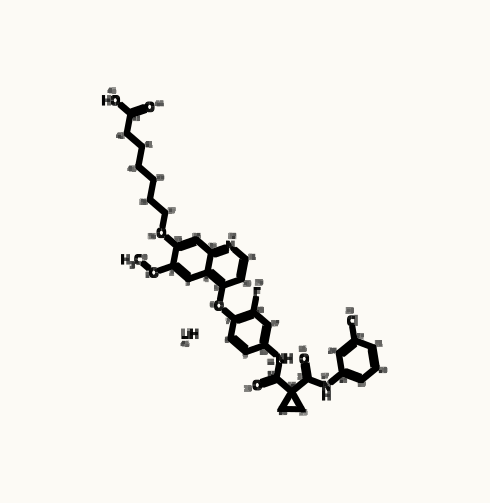 COc1cc2c(Oc3ccc(NC(=O)C4(C(=O)Nc5cccc(Cl)c5)CC4)cc3F)ccnc2cc1OCCCCCCC(=O)O.[LiH]